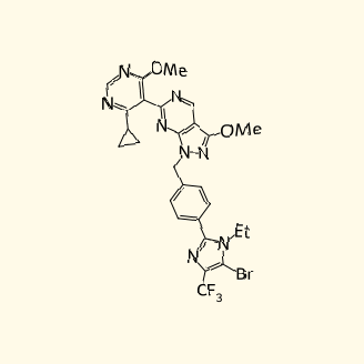 CCn1c(-c2ccc(Cn3nc(OC)c4cnc(-c5c(OC)ncnc5C5CC5)nc43)cc2)nc(C(F)(F)F)c1Br